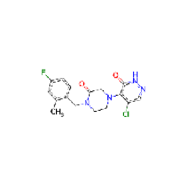 Cc1cc(F)ccc1CN1CCN(c2c(Cl)cn[nH]c2=O)CC1=O